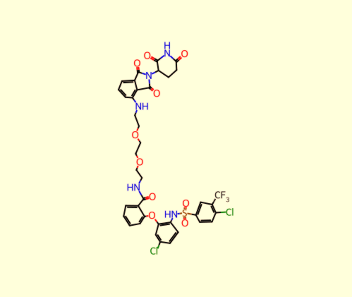 O=C1CCC(N2C(=O)c3cccc(NCCOCCOCCNC(=O)c4ccccc4Oc4cc(Cl)ccc4NS(=O)(=O)c4ccc(Cl)c(C(F)(F)F)c4)c3C2=O)C(=O)N1